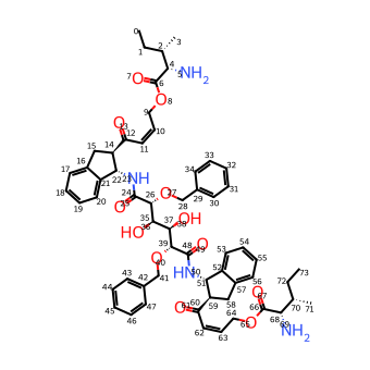 CC[C@H](C)[C@H](N)C(=O)OC/C=C\C(=O)[C@@H]1Cc2ccccc2[C@H]1NC(=O)[C@H](OCc1ccccc1)[C@H](O)[C@@H](O)[C@@H](OCc1ccccc1)C(=O)N[C@@H]1c2ccccc2C[C@H]1C(=O)/C=C\COC(=O)[C@@H](N)[C@@H](C)CC